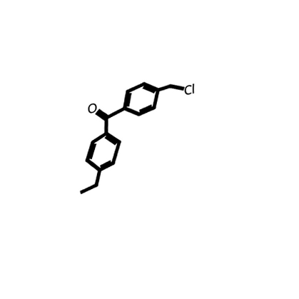 CCc1ccc(C(=O)c2ccc(CCl)cc2)cc1